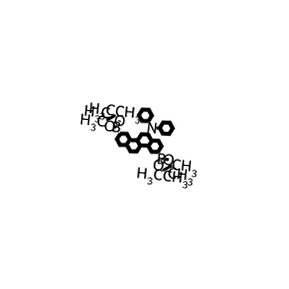 CC1(C)OB(c2ccc3ccc4c5cc(B6OC(C)(C)C(C)(C)O6)ccc5c(N(c5ccccc5)c5ccccc5)cc4c3c2)OC1(C)C